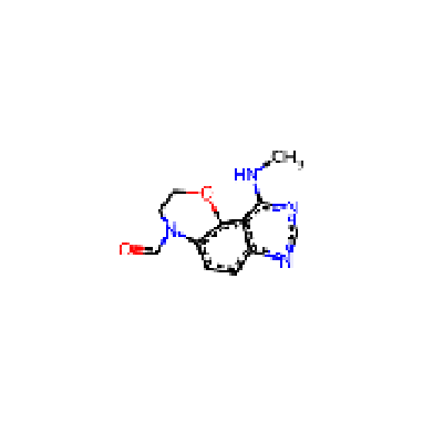 CNc1ncnc2ccc3c(c12)OCCN3C=O